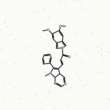 COc1cc2cn(C(=O)/C=C/C3=C(c4ccccc4)N(C)C4N=CN=CC34)cc2cc1OC